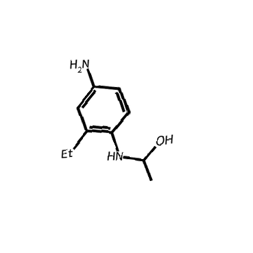 CCc1cc(N)ccc1NC(C)O